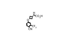 N#Cc1ccc(O[C@H]2C[C@H](NC(=O)O)C2)cc1C(F)(F)F